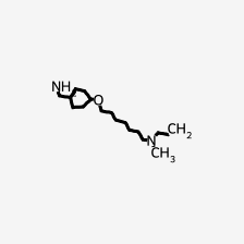 C=CCN(C)CCCCCCCOC1CCC(CN)CC1